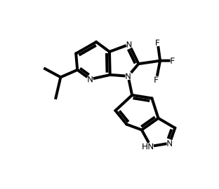 CC(C)c1ccc2nc(C(F)(F)F)n(-c3ccc4[nH]ncc4c3)c2n1